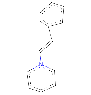 C(=C[n+]1ccccc1)c1ccccc1